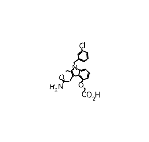 Cc1c(CC(N)=O)c2c(OCC(=O)O)cccc2n1Cc1cccc(Cl)c1